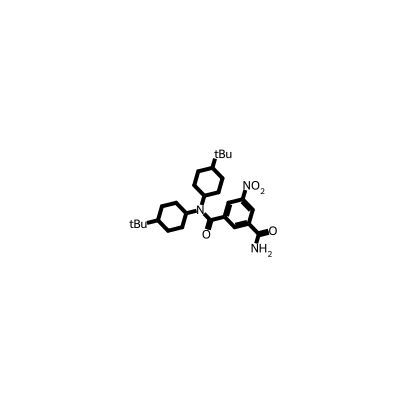 CC(C)(C)C1CCC(N(C(=O)c2cc(C(N)=O)cc([N+](=O)[O-])c2)C2CCC(C(C)(C)C)CC2)CC1